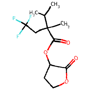 CC(C)C(C)(CC(F)(F)F)C(=O)OC1CCOC1=O